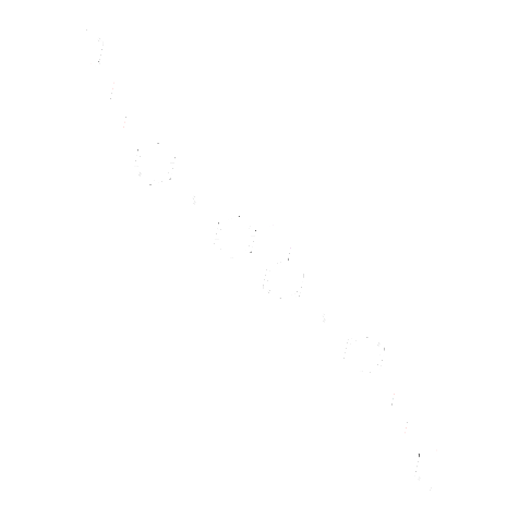 C=CC(=O)OCCOc1ccc(C#Cc2ccc(-c3ccc(C#Cc4ccc(OCCOC(=O)C=C)cc4)cc3I)c(I)c2)cc1